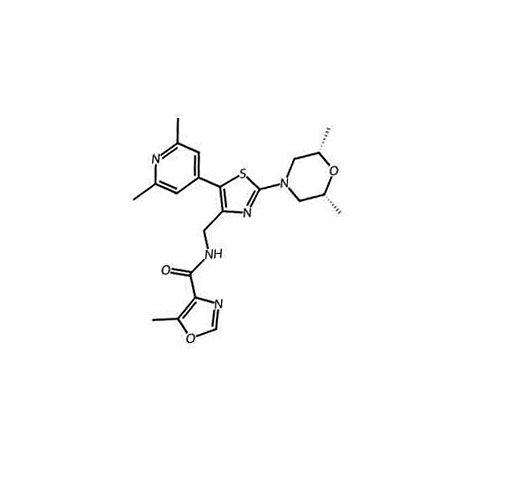 Cc1cc(-c2sc(N3C[C@@H](C)O[C@@H](C)C3)nc2CNC(=O)c2ncoc2C)cc(C)n1